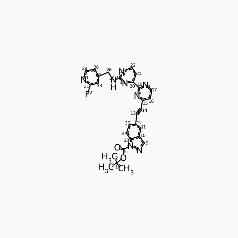 CC(C)(C)OC(=O)n1ncc2cc(C#Cc3ccnc(-c4ccnc(NCc5ccnc(F)c5)n4)n3)ccc21